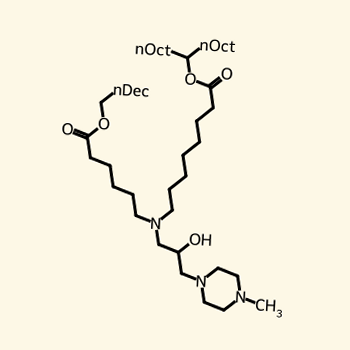 CCCCCCCCCCCOC(=O)CCCCCN(CCCCCCCC(=O)OC(CCCCCCCC)CCCCCCCC)CC(O)CN1CCN(C)CC1